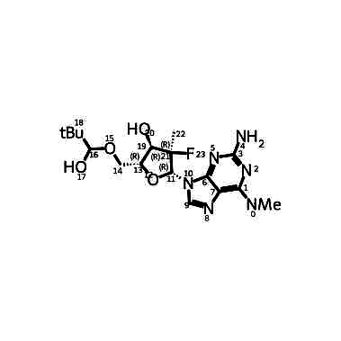 CNc1nc(N)nc2c1ncn2[C@@H]1O[C@H](COC(O)C(C)(C)C)[C@@H](O)[C@@]1(C)F